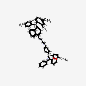 COc1c#cc(N(/C=C(\C2=CC=CCC2)c2ccccc2)c2ccc(/C=C/C=C/c3ccc(N(c4ccc(C)cc4C)c4ccc(C)cc4C)c4ccccc34)cc2)cc1